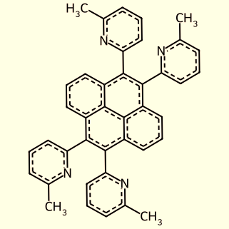 Cc1cccc(-c2c(-c3cccc(C)n3)c3cccc4c(-c5cccc(C)n5)c(-c5cccc(C)n5)c5cccc2c5c34)n1